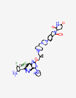 Nc1cc(F)c(C(F)(F)F)c(-c2ncc3c(N4CC5CCC(C4)N5)nc(OCC4(CN5CCC(CN6CCN(c7ccc8c(c7)CN([C@H]7CCC(=O)NC7=O)C8=O)CC6)CC5)CC4)nc3c2F)c1